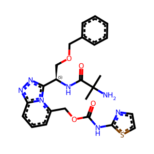 CC(C)(N)C(=O)N[C@H](COCc1ccccc1)c1nnc2cccc(COC(=O)Nc3nccs3)n12